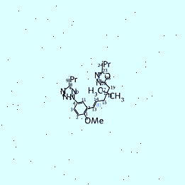 COc1ccc(-n2nnc(C(C)C)n2)cc1/C=C/CC(C)(C)Cc1nnc(C(C)C)o1